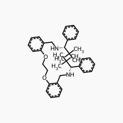 CC(C)(C)[C@H](NCc1ccccc1OCCOc1ccccc1CN[C@@H](c1ccccc1)C(C)(C)C)c1ccccc1